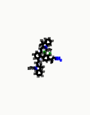 C=C(CN)c1ccc(C2=C(/C=C/C3N(CCC)c4ccccc4C3(C)C)CCC/C2=C\C=C2\N(CCC)c3ccccc3C2(C)C)c(F)c1F